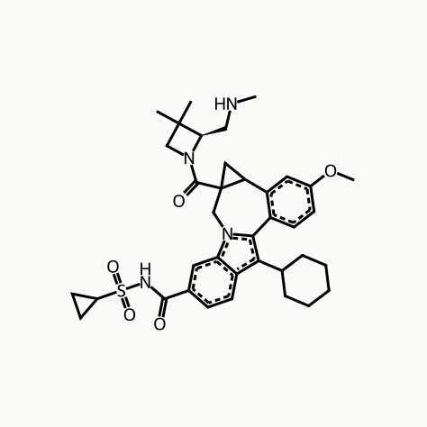 CNC[C@H]1N(C(=O)C23CC2c2cc(OC)ccc2-c2c(C4CCCCC4)c4ccc(C(=O)NS(=O)(=O)C5CC5)cc4n2C3)CC1(C)C